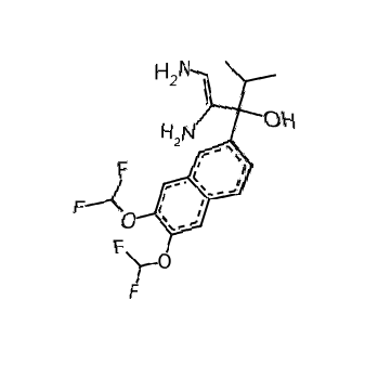 CC(C)C(O)(/C(N)=C/N)c1ccc2cc(OC(F)F)c(OC(F)F)cc2c1